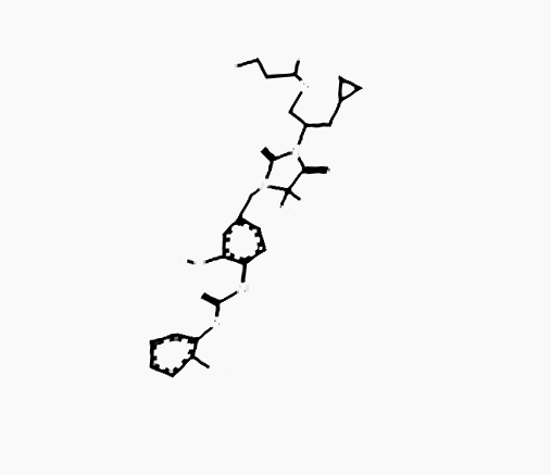 COc1cc(CN2C(=O)N(C(CNC(C)CCO)CC3CC3)C(=O)C2(C)C)ccc1NC(=O)Nc1ccccc1C